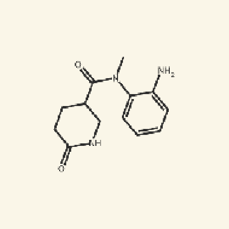 CN(C(=O)C1CCC(=O)NC1)c1ccccc1N